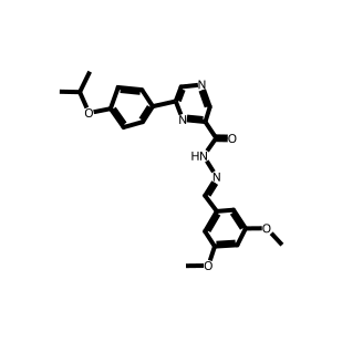 COc1cc(C=NNC(=O)c2cncc(-c3ccc(OC(C)C)cc3)n2)cc(OC)c1